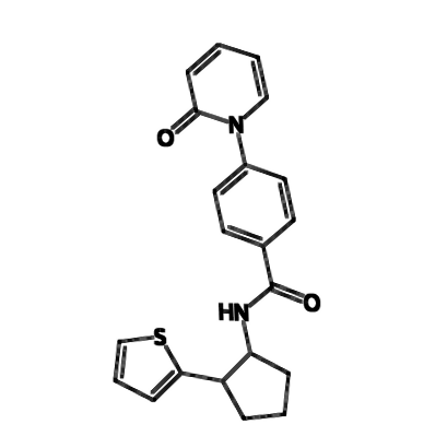 O=C(NC1CCCC1c1cccs1)c1ccc(-n2ccccc2=O)cc1